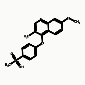 COc1ccc2c(Oc3ccc(S(C)(=N)=O)cc3)c(C)cnc2c1